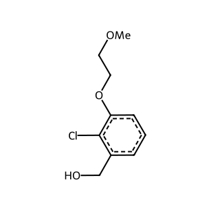 COCCOc1cccc(CO)c1Cl